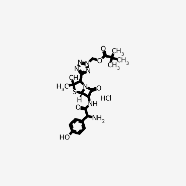 CC(C)(C)C(=O)OCn1nnc(C2N3C(=O)C(NC(=O)C(N)c4ccc(O)cc4)[C@@H]3SC2(C)C)n1.Cl